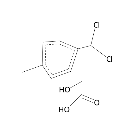 CO.Cc1ccc(C(Cl)Cl)cc1.O=CO